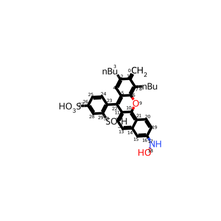 C=c1c(CCCC)cc2c(c1CCCC)Oc1c(ccc3cc(NO)ccc13)C=2c1ccc(S(=O)(=O)O)cc1S(=O)(=O)O